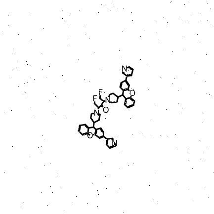 O=C(C(CF)N1CCC(C2c3ccccc3Oc3cc(-c4cccnc4)ccc32)CC1)C(CF)N1CCC(C2c3ccccc3Oc3cc(-c4cccnc4)ccc32)CC1